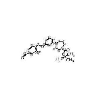 CC(C)(C)OC(=O)N1CCCN(c2cccc(OCc3ccc(C#N)cc3F)n2)CC1